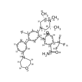 C[C@@H]1CN(c2cc(F)c(-c3cccc(N4CCOCC4)c3)cc2-n2cc(C(N)=O)c(C(F)(F)F)cc2=O)C[C@H](C)N1C